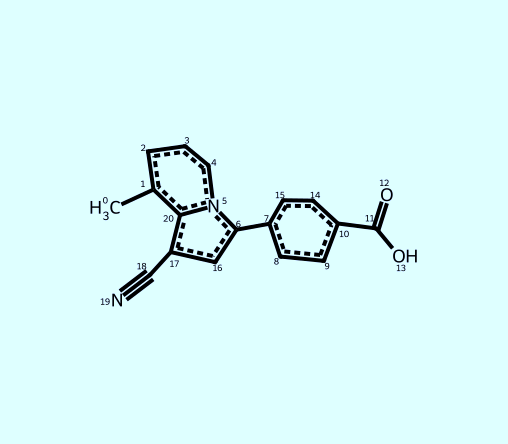 Cc1cccn2c(-c3ccc(C(=O)O)cc3)cc(C#N)c12